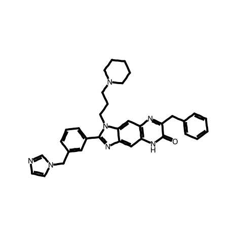 O=c1[nH]c2cc3nc(-c4cccc(Cn5ccnc5)c4)n(CCCN4CCCCC4)c3cc2nc1Cc1ccccc1